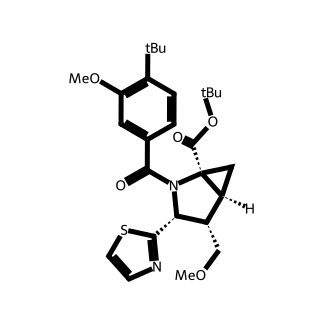 COC[C@@H]1[C@H](c2nccs2)N(C(=O)c2ccc(C(C)(C)C)c(OC)c2)[C@@]2(C(=O)OC(C)(C)C)C[C@@H]12